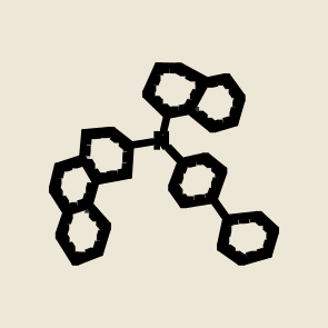 c1ccc(-c2ccc(N(c3ccc4ccc5ccccc5c4c3)c3cccc4ccccc34)cc2)cc1